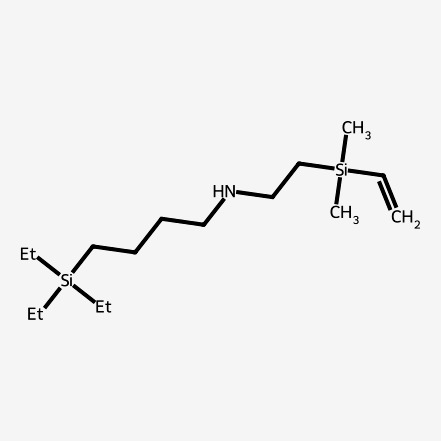 C=C[Si](C)(C)CCNCCCC[Si](CC)(CC)CC